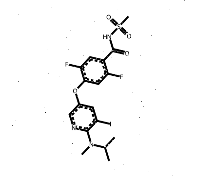 CC(C)N(C)c1ncc(Oc2cc(F)c(C(=O)NS(C)(=O)=O)cc2F)cc1I